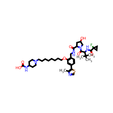 Cc1ncsc1-c1ccc(CNC(=O)C2CC(O)CN2C(=O)C(NC(=O)C2(F)CC2)C(C)(C)C)c(OCCCCCCCCN2CCC(NC(=O)O)CC2)c1